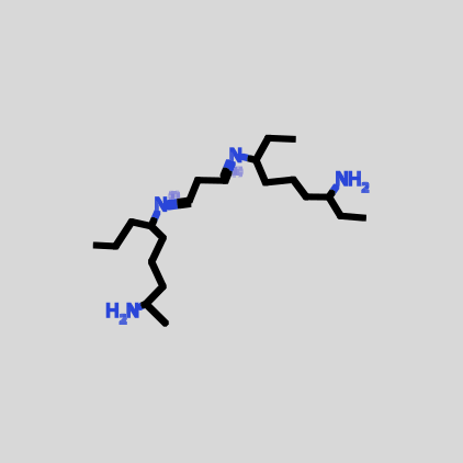 CCCC(CCCC(C)N)/N=C/C/C=N/C(CC)CCCC(N)CC